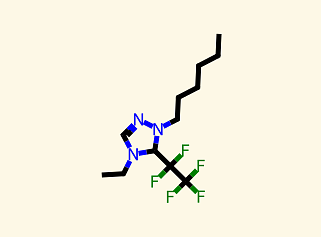 CCCCCCN1N=CN(CC)C1C(F)(F)C(F)(F)F